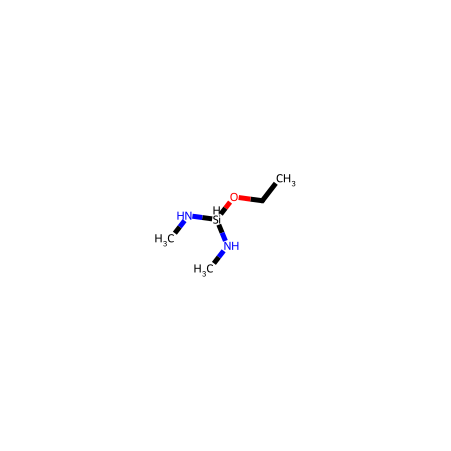 CCO[SiH](NC)NC